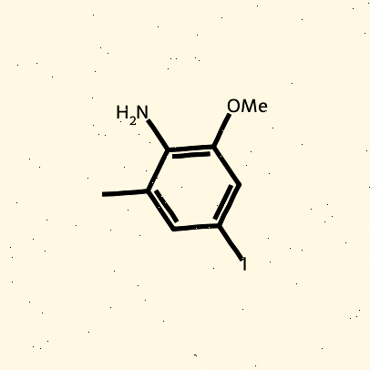 COc1cc(I)cc(C)c1N